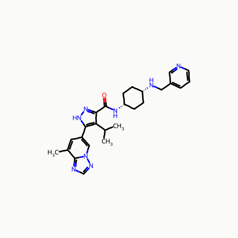 Cc1cc(-c2[nH]nc(C(=O)N[C@H]3CC[C@@H](NCc4cccnc4)CC3)c2C(C)C)cn2ncnc12